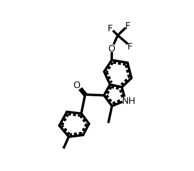 Cc1ccc(C(=O)c2c(C)[nH]c3ccc(OC(F)(F)F)cc23)cc1